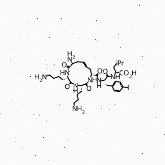 CC(C)C[C@H](NC(=O)[C@H](Cc1ccc(I)cc1)NC(=O)[C@@H]1C/C=C/C[C@H](N)C(=O)N[C@@H](CCCCN)C(=O)N[C@@H](CCCCN)C(=O)N1)C(=O)O